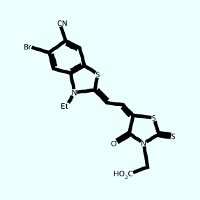 CCN1/C(=C/C=C2/SC(=S)N(CC(=O)O)C2=O)Sc2cc(C#N)c(Br)cc21